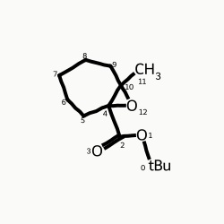 CC(C)(C)OC(=O)C12CCCCCC1(C)O2